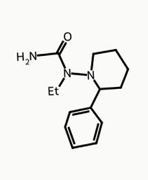 CCN(C(N)=O)N1CCCCC1c1ccccc1